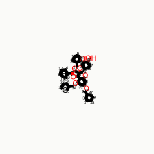 CC(=O)[C@@]1(OCc2ccccc2)C(OCc2ccccc2)c2c(OCc3ccccc3)cc(OCc3ccccc3)cc2O[C@@H]1c1ccc(O)c(O)c1